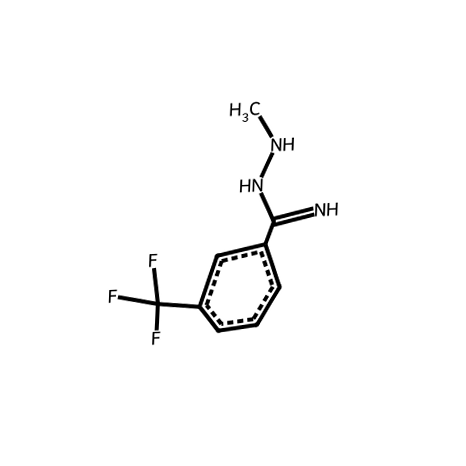 CNNC(=N)c1cccc(C(F)(F)F)c1